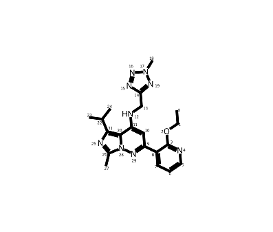 CCOc1ncccc1-c1cc(NCc2nnn(C)n2)c2c(C(C)C)nc(C)n2n1